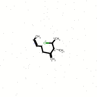 C=C(CC/C=C\C)[C@@H](C)C(C)Cl